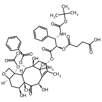 CC(=O)O[C@@]12CO[C@@H]1C[C@H](O)[C@@]1(C)C(=O)[C@H](O)C3=C(C)[C@@H](OC(=O)[C@H](OC(=O)CCC(=O)O)[C@@H](NC(=O)OC(C)(C)C)c4ccccc4)C[C@@](O)([C@@H](OC(=O)c4ccccc4)[C@H]21)C3(C)C